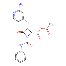 Nc1cc(CC2C(=O)N(C(=O)Nc3ccccc3)C2C(=O)OC(=O)C(F)(F)F)ccn1